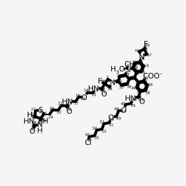 C[Si]1(C)C2=CC(=[N+]3CC(F)(C(=O)NCCOCCNC(=O)CCCC[C@@H]4SC[C@@H]5NC(=O)N[C@@H]54)C3)C=CC2=C(c2cc(C(=O)NCCOCCOCCCCCCCl)ccc2C(=O)[O-])c2ccc(N3CC(F)C3)cc21